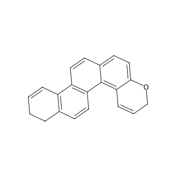 C1=Cc2c(ccc3c2ccc2ccc4c(c23)C=CCO4)CC1